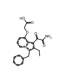 CCc1c(C(=O)C(N)=O)c2c(OCC(=O)O)cccn2c1Cc1ccccc1